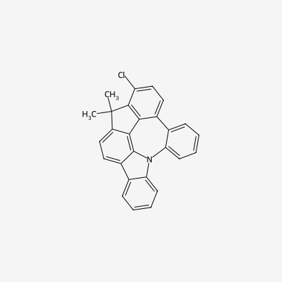 CC1(C)c2ccc3c4ccccc4n4c3c2-c2c(ccc(Cl)c21)-c1ccccc1-4